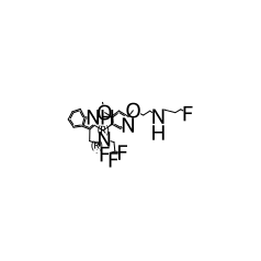 COc1cc(OCCNCCCF)ncc1[C@@H]1c2[nH]c3ccccc3c2C[C@@H](C)N1CC(F)(F)F